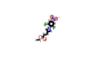 CCOC(=O)/C=C/C1CN(c2c(F)cc([N+](=O)[O-])cc2F)C1